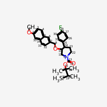 COc1ccc2cc(COC3CN(C(=O)OC(C)(C)C(C)[SiH3])CCC3c3ccc(F)cc3)ccc2c1